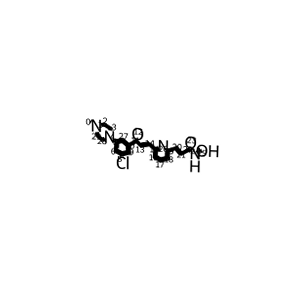 CN1CCN(c2cc(Cl)cc(C(=O)C=Cc3cccc(C=CC(=O)NO)n3)c2)CC1